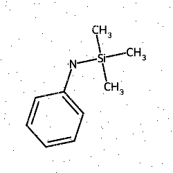 C[Si](C)(C)[N]c1ccccc1